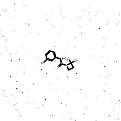 CC1(C(=O)O)CCN1C(=O)Cc1cccc(Cl)c1